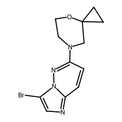 Brc1cnc2ccc(N3CCOC4(CC4)C3)nn12